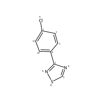 Clc1ccc(-c2n[c]sn2)cc1